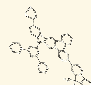 CC1(C)c2ccccc2-c2ccc(-c3ccc4c(c3)c3ccccc3c3cc5c6cc(-c7ccccc7)ccc6n(-c6cc(-c7ccccc7)nc(-c7ccccc7)c6)c5cc43)cc21